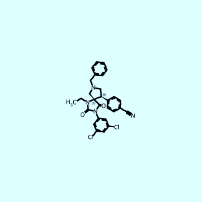 CCN1C(=O)N(c2cc(Cl)cc(Cl)c2)C(=O)[C@]12CN(Cc1ccccc1)C[C@H]2c1ccc(C#N)cc1